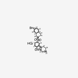 COc1ccc(S(=O)(=O)N2CCc3ccc(Br)cc3C2)cc1N1CCN(C)CC1.Cl